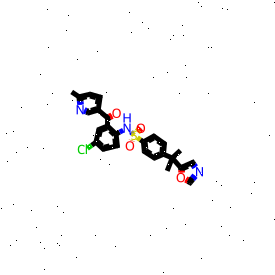 Cc1ccc(C(=O)c2cc(Cl)ccc2NS(=O)(=O)c2ccc(C(C)(C)c3cnco3)cc2)cn1